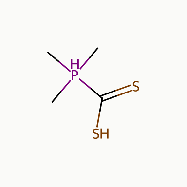 C[PH](C)(C)C(=S)S